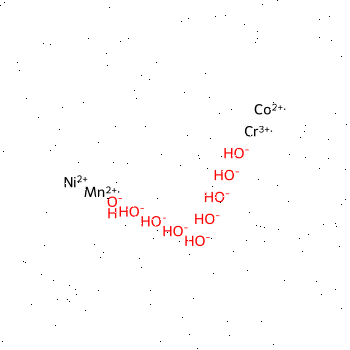 [Co+2].[Cr+3].[Mn+2].[Ni+2].[OH-].[OH-].[OH-].[OH-].[OH-].[OH-].[OH-].[OH-].[OH-]